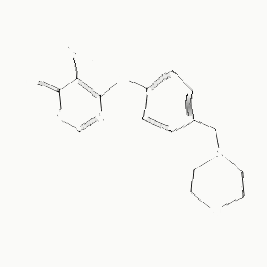 Nc1c(Oc2ccc(CN3CCOCC3)cc2)nc[nH]c1=O